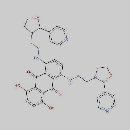 O=C1c2c(O)ccc(O)c2C(=O)c2c(NCCN3CCOC3c3ccncc3)ccc(NCCN3CCOC3c3ccncc3)c21